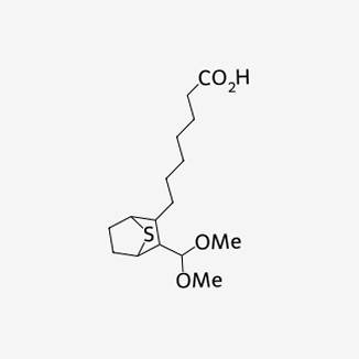 COC(OC)C1C2CCC(S2)C1CCCCCCC(=O)O